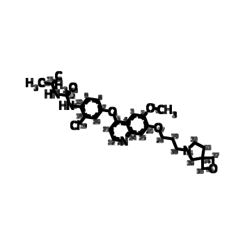 COc1cc2c(Oc3ccc(NC(=O)NC(C)C)c(Cl)c3)ccnc2cc1OCCCN1CCC2(COC2)C1